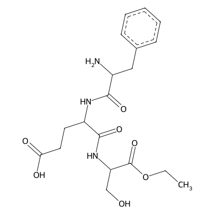 CCOC(=O)C(CO)NC(=O)C(CCC(=O)O)NC(=O)C(N)Cc1ccccc1